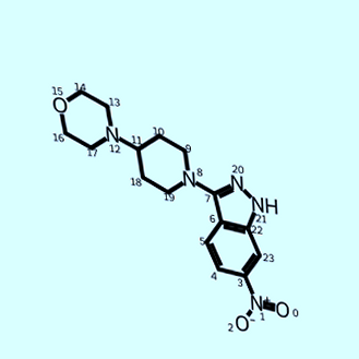 O=[N+]([O-])c1ccc2c(N3CCC(N4CCOCC4)CC3)n[nH]c2c1